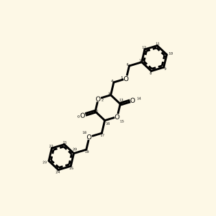 O=C1OC(COCc2ccccc2)C(=O)OC1COCc1ccccc1